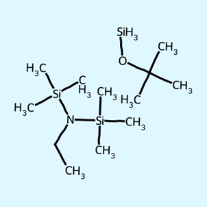 CC(C)(C)O[SiH3].CCN([Si](C)(C)C)[Si](C)(C)C